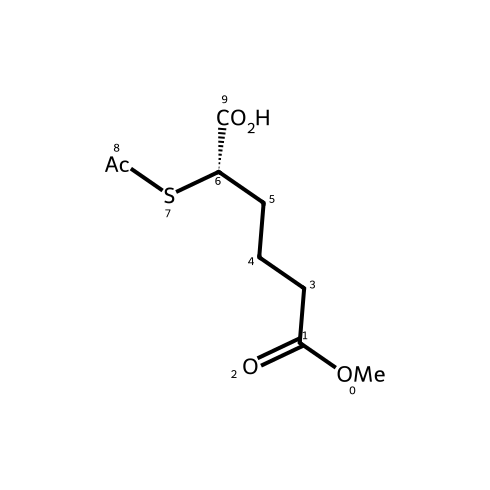 COC(=O)CCC[C@H](SC(C)=O)C(=O)O